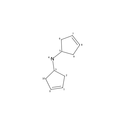 C1=CCC([N]C2CC=CC2)C1